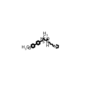 COc1ccc(-c2ccc(-c3nc(C)c(C(=O)NCCCCN4CCCC4)s3)cc2)cc1